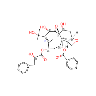 C/C1=C(/C(C)(C)O)[C@@H](O)C(=O)[C@@]2(C)[C@@H]([C@@H]3CO[C@@H]3C[C@@H]2O)[C@H](OC(=O)c2ccccc2)C[C@@H]1OC(=O)[C@H](O)Cc1ccccc1